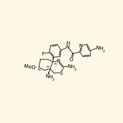 CO[C@@H]1CC[C@]2(c3cc(NC(=O)c4ccc(N)cn4)ccc3F)N=C(N)SC[C@]2(N)C1